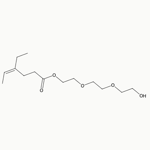 CC=C(CC)CCC(=O)OCCOCCOCCO